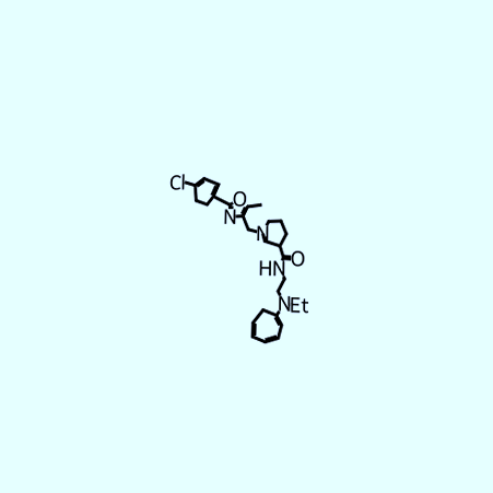 CCN(CCNC(=O)C1CCCN(Cc2nc(C3=CC=C(Cl)CC3)oc2C)C1)C1=CC=CC=CC1